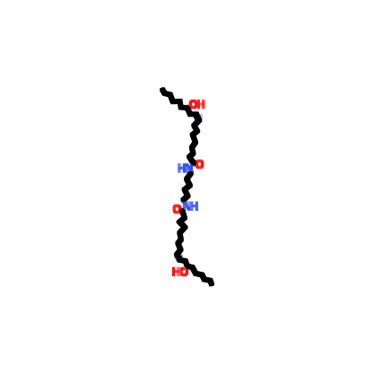 CCCCCCC(O)C/C=C\CCCCCCCC(=O)NCCCCCCNC(=O)CCCCCCC/C=C\CC(O)CCCCCC